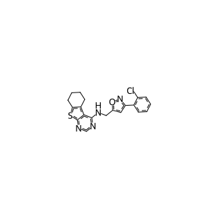 Clc1ccccc1-c1cc(CNc2ncnc3sc4c(c23)CCCC4)on1